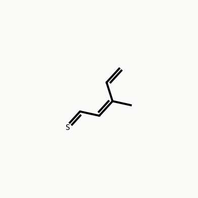 C=C/C(C)=C\C=S